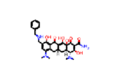 CN(C)c1cc(CNCc2ccccc2)c(O)c2c1C[C@H]1C[C@H]3[C@@H](N(C)C)C(O)=C(C(N)=O)C(=O)[C@@]3(O)C(O)=C1C2=O